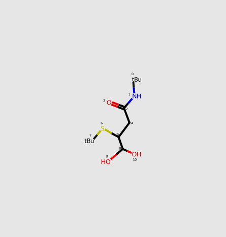 CC(C)(C)NC(=O)CC(SC(C)(C)C)C(O)O